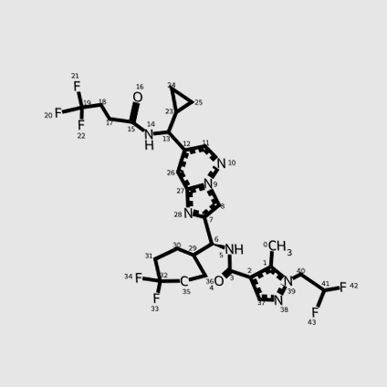 Cc1c(C(=O)N[C@H](c2cn3ncc(C(NC(=O)CCC(F)(F)F)C4CC4)cc3n2)C2CCC(F)(F)CC2)cnn1CC(F)F